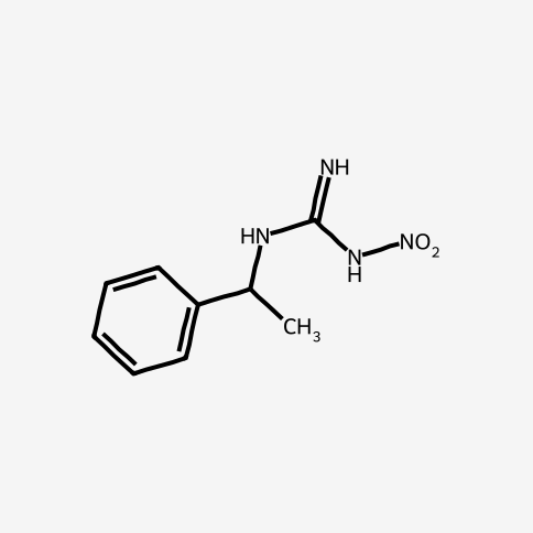 CC(NC(=N)N[N+](=O)[O-])c1ccccc1